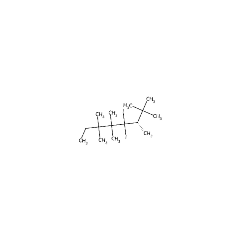 CCC(C)(C)C(C)(C)C(I)(I)[C@@H](C)C(C)(C)C